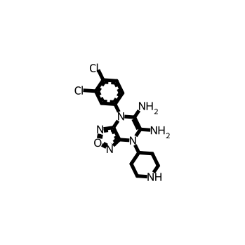 NC1=C(N)N(C2CCNCC2)c2nonc2N1c1ccc(Cl)c(Cl)c1